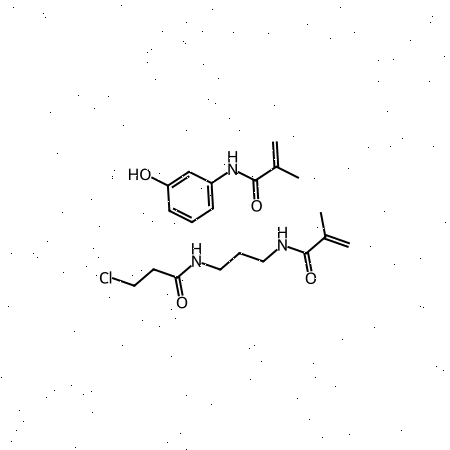 C=C(C)C(=O)NCCCNC(=O)CCCl.C=C(C)C(=O)Nc1cccc(O)c1